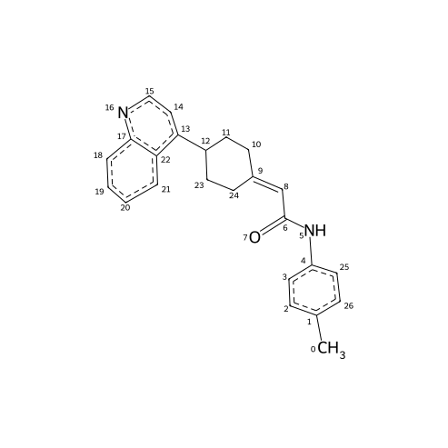 Cc1ccc(NC(=O)C=C2CCC(c3ccnc4ccccc34)CC2)cc1